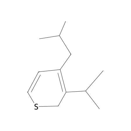 CC(C)CC1=C(C(C)C)CSC=C1